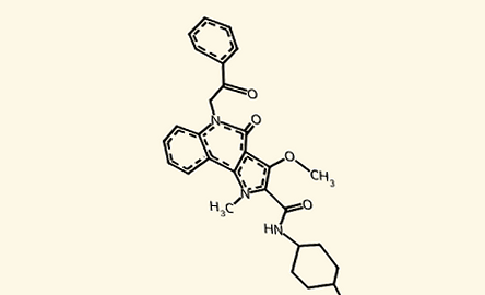 COc1c(C(=O)NC2CCC(N)CC2)n(C)c2c1c(=O)n(CC(=O)c1ccccc1)c1ccccc21